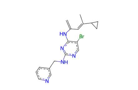 C=C(/C=C(\C)C1CC1)Nc1nc(NCc2cccnc2)ncc1Br